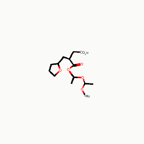 CCCCOC(C)OC(C)OC(=O)C(CC(=O)O)CC1CCCO1